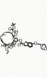 CCOC(=O)[C@@]12C[C@H]1/C=C\CCCCC[C@H](NC(=O)OC(C)(C)C)C(=O)N1C[C@H](OC(=O)N3Cc4ccc(OCCN5CCOCC5)cc4C3)C[C@H]1C(=O)N2